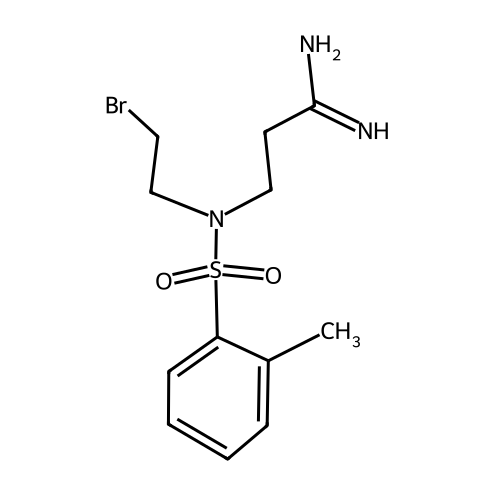 Cc1ccccc1S(=O)(=O)N(CCBr)CCC(=N)N